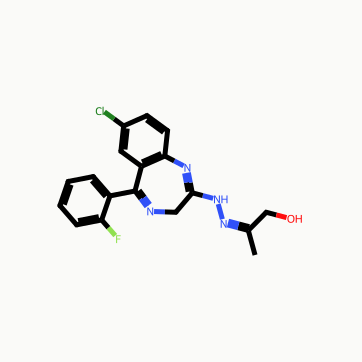 CC(CO)=NNC1=Nc2ccc(Cl)cc2C(c2ccccc2F)=NC1